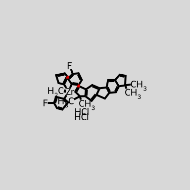 Cl.Cl.[CH2]=[Zr]([C]1=CC=CC1)([C]1=Cc2cc3c(cc2C1(C)C)Cc1cc2c(cc1-3)C=CC2(C)C)([c]1cccc(F)c1)[c]1cccc(F)c1